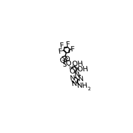 Nc1ncnc2c1ncn2[C@@H]1O[C@H](COP2(=S)OCC(c3cc(F)c(F)c(F)c3F)O2)[C@@H](O)[C@H]1O